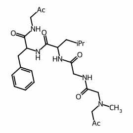 CC(=O)CNC(=O)C(Cc1ccccc1)NC(=O)C(CC(C)C)NC(=O)CNC(=O)CN(C)CC(C)=O